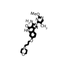 COc1ncc(C)c(-n2nc3c(c2N)c(=O)[nH]c2cc(OCCCN4CCOCC4)ccc23)n1